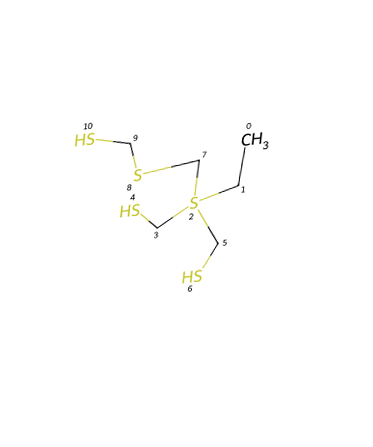 CCS(CS)(CS)CSCS